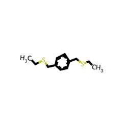 CCSCc1ccc(CSCC)cc1